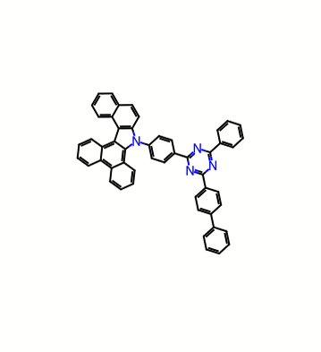 c1ccc(-c2ccc(-c3nc(-c4ccccc4)nc(-c4ccc(-n5c6ccc7ccccc7c6c6c7ccccc7c7ccccc7c65)cc4)n3)cc2)cc1